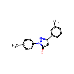 Cc1ccc(-n2[nH]c(-c3cccc(C)c3)cc2=O)cc1